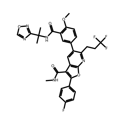 CNC(=O)c1c(-c2ccc(F)cc2)oc2nc(CCC(F)(F)F)c(-c3ccc(OC)c(C(=O)NC(C)(C)c4ncon4)c3)cc12